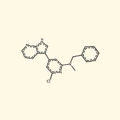 CN(Cc1ccccc1)c1cc(-c2c[nH]c3ncccc23)cc(Cl)n1